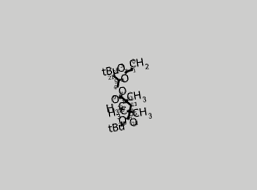 C=CC(=O)OC(COC(=O)C(C)(C)CC(C)(C)C(=O)OC(C)(C)C)CC(C)(C)C